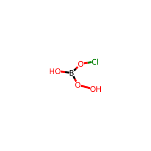 OOB(O)OCl